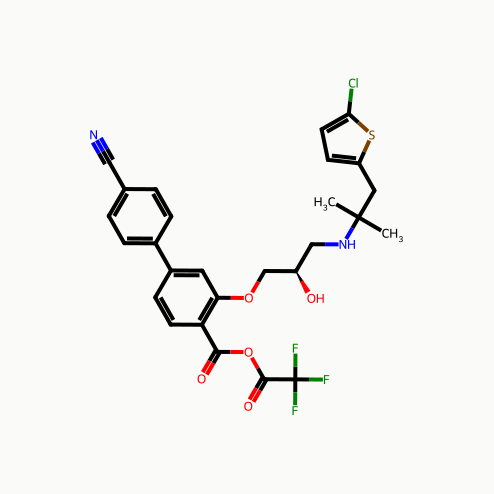 CC(C)(Cc1ccc(Cl)s1)NC[C@@H](O)COc1cc(-c2ccc(C#N)cc2)ccc1C(=O)OC(=O)C(F)(F)F